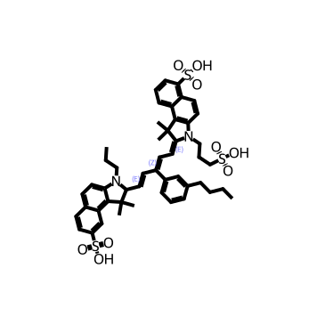 CCCCc1cccc(C(=C\C=C2\N(CCCS(=O)(=O)O)c3ccc4c(S(=O)(=O)O)cccc4c3C2(C)C)/C=C/C2N(CCC)c3ccc4ccc(S(=O)(=O)O)cc4c3C2(C)C)c1